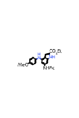 CCOC(=O)c1cc2c(Nc3ccc(OC)cc3)cc(NC(C)=O)cc2[nH]1